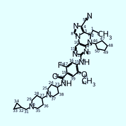 CC[C@@H]1c2c(C#N)ncn2-c2cnc(Nc3cc(F)c(C(=O)NC4CCN(C5CCN(CC6CC6)CC5)CC4)cc3OC)nc2N1C1CCCC1